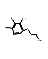 CC(=O)OCCOc1ccc(F)c(F)c1C=O